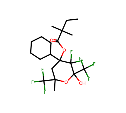 CCC(C)(C)C(=O)OC1(C2CCCCC2)CC(C)(C(F)(F)F)OC(O)(C(F)(F)F)C1(F)F